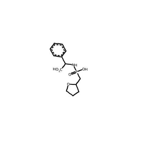 O=C(O)C(NP(=O)(O)CC1CCCO1)c1ccccc1